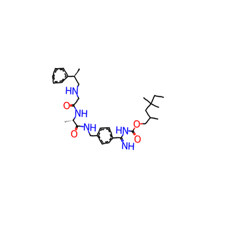 CCC(C)(C)CC(C)COC(=O)NC(=N)c1ccc(CNC(=O)[C@H](C)NC(=O)CNC[C@H](C)c2ccccc2)cc1